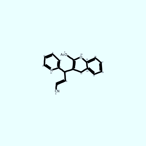 CC(=O)OC1=C(C(C=CC#N)c2ccccn2)Cc2ccccc2O1